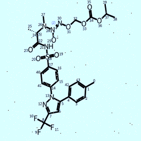 Cc1ccc(-c2cc(C(F)(F)F)nn2-c2ccc(S(=O)(=O)NC(=O)[C@H](C)N(C)/[N+]([O-])=N/OCOC(=O)OC(C)C)cc2)cc1